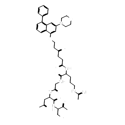 CC(=N)NCCCC(NC(=O)CCC(=O)CCOc1cc(N2CCOCC2)cc2c(-c3ccccc3)cccc12)C(=O)NCC(=O)NC(CC(C)=O)C(=O)NC(CO)C(C)=O